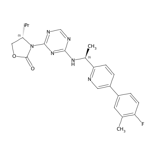 Cc1cc(-c2ccc([C@H](C)Nc3ncnc(N4C(=O)OC[C@@H]4C(C)C)n3)nc2)ccc1F